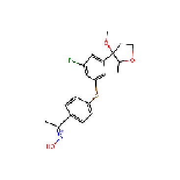 COC1(c2cc(F)cc(Sc3ccc(/C(C)=N/O)cc3)c2)CCOC1C